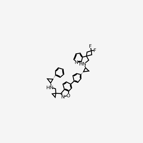 FC1(F)CC(CN[C@H]2C[C@@H]2c2ccc(-c3ccc4c(C5(CN[C@H]6C[C@@H]6c6ccccc6)CC5)noc4c3)cc2)(c2cccnc2)C1